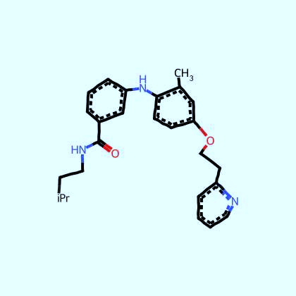 Cc1cc(OCCc2ccccn2)ccc1Nc1cccc(C(=O)NCCC(C)C)c1